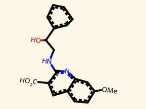 COc1ccc2cc(C(=O)O)c(NCC(O)c3ccccc3)nc2c1